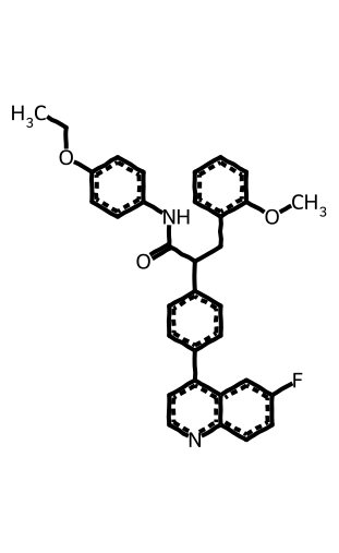 CCOc1ccc(NC(=O)C(Cc2ccccc2OC)c2ccc(-c3ccnc4ccc(F)cc34)cc2)cc1